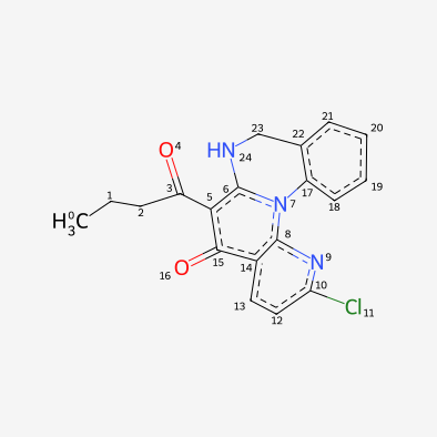 CCCC(=O)c1c2n(c3nc(Cl)ccc3c1=O)-c1ccccc1CN2